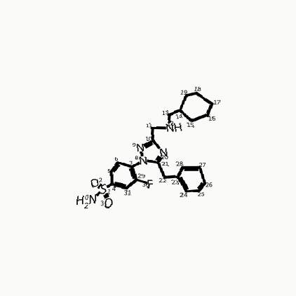 NS(=O)(=O)c1ccc(-n2nc(CNCC3CCCCC3)nc2Cc2ccccc2)c(F)c1